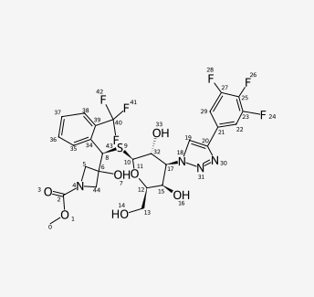 COC(=O)N1CC(O)([C@H](S[C@@H]2O[C@H](CO)[C@H](O)[C@H](n3cc(-c4cc(F)c(F)c(F)c4)nn3)[C@H]2O)c2ccccc2C(F)(F)F)C1